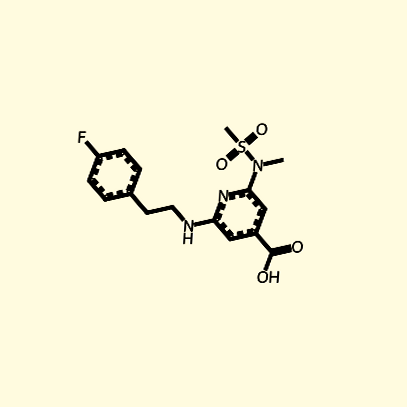 CN(c1cc(C(=O)O)cc(NCCc2ccc(F)cc2)n1)S(C)(=O)=O